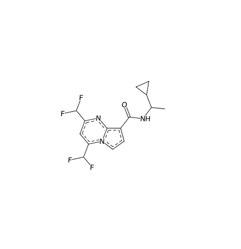 CC(NC(=O)c1ccn2c(C(F)F)cc(C(F)F)nc12)C1CC1